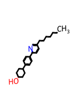 CCCCCCCc1ccc(-c2ccc(C3CCC(O)CC3)cc2)nc1